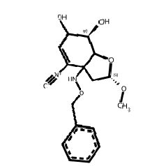 [C-]#[N+]C1=CC(O)[C@@H](O)C2O[C@H](OC)CC12NOCc1ccccc1